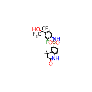 CC1(C)CC(=O)Nc2ccc(S(=O)(=O)Nc3ccc(C(O)(C(F)(F)F)C(F)(F)F)cc3F)cc21